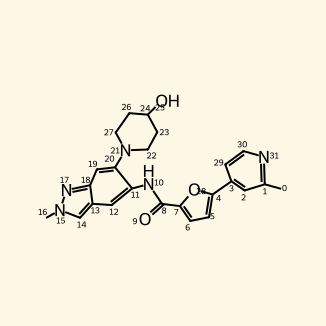 Cc1cc(-c2ccc(C(=O)Nc3cc4cn(C)nc4cc3N3CCC(O)CC3)o2)ccn1